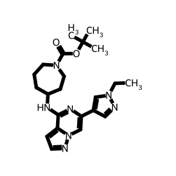 CCn1cc(-c2cn3nccc3c(NC3CCCN(C(=O)OC(C)(C)C)CC3)n2)cn1